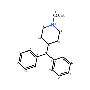 CCOC(=O)N1CCC(C(c2ccccc2)c2ccccc2)CC1